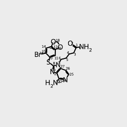 NC(=O)CCCCn1c(Sc2cc3c(cc2Br)OCO3)nc2c(N)nccc21